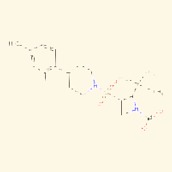 Cc1ccc(C2CCN(S(=O)(=O)C3CN(C(=O)O)C3C(C)(C)C)CC2)c(C)c1